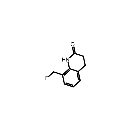 O=C1CCc2c[c]cc(CF)c2N1